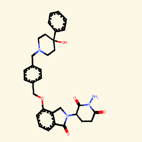 NN1C(=O)CCC(N2Cc3c(OCc4ccc(CN5CCC(O)(c6ccccc6)CC5)cc4)cccc3C2=O)C1=O